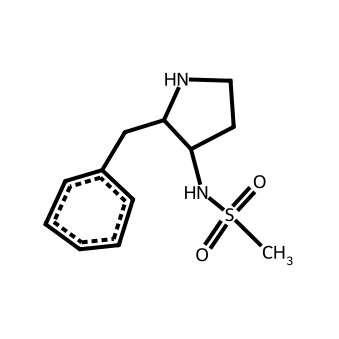 CS(=O)(=O)NC1CCNC1Cc1ccccc1